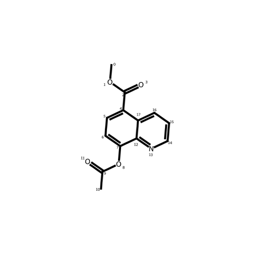 COC(=O)c1ccc(OC(C)=O)c2ncccc12